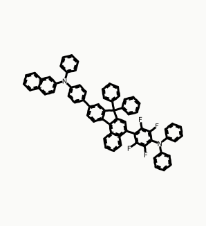 Fc1c(F)c(N(c2ccccc2)c2ccccc2)c(F)c(F)c1-c1cc2c(c3ccccc13)-c1ccc(-c3ccc(N(c4ccccc4)c4ccc5ccccc5c4)cc3)cc1C2(c1ccccc1)c1ccccc1